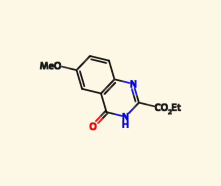 CCOC(=O)c1nc2ccc(OC)cc2c(=O)[nH]1